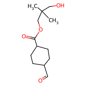 CC(C)(CO)COC(=O)C1CCC(C=O)CC1